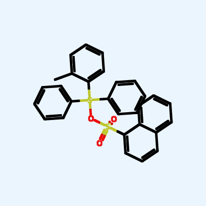 Cc1ccccc1S(OS(=O)(=O)c1cccc2ccccc12)(c1ccccc1)c1ccccc1